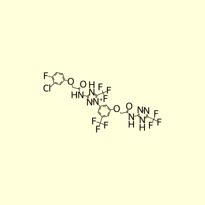 O=C(COc1cc(-[n+]2nc(NC(=O)COc3ccc(F)c(Cl)c3)[nH]c2C(F)(F)F)cc(C(F)(F)F)c1)Nc1nnc(C(F)(F)F)[nH]1